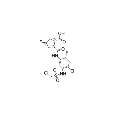 O=C(O)[C@H]1C[C@H](F)CN1C(=O)Nc1cc(NS(=O)(=O)CCl)c(Cl)cc1F